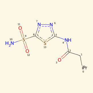 CC(C)CC(=O)Nc1nnc(S(N)(=O)=O)s1